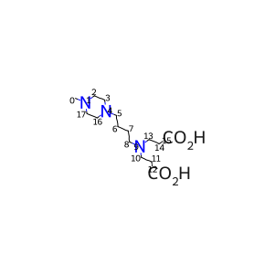 CN1CCN(CCCCN(CCC(=O)O)CCC(=O)O)CC1